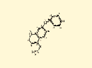 NCC1=CCOc2cc(Oc3ccccc3)ccc21